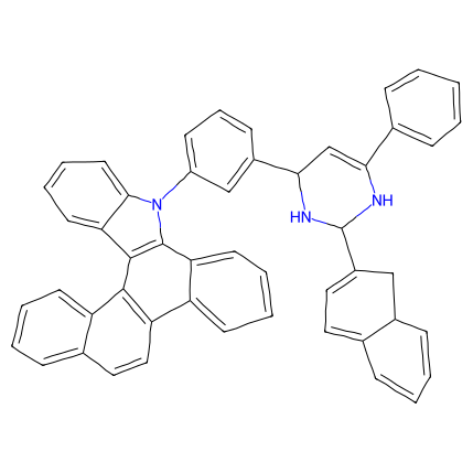 C1=CC2=CC=C(C3NC(c4ccccc4)=CC(c4cccc(-n5c6ccccc6c6c7c8ccccc8ccc7c7ccccc7c65)c4)N3)CC2C=C1